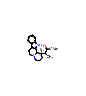 CC[C@@]1(C(C)C(=O)OC)CCCN2CCc3c([nH]c4ccccc34)C21